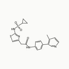 Cc1ccncc1-c1ccc(NC(=O)Cc2csc(NS(=O)(=O)C3CC3)n2)cc1